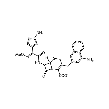 CON=C(C(=O)NC1C(=O)N2C(C(=O)[O-])=C(C[n+]3cc(N)c4ccccc4c3)CS[C@@H]12)c1csc(N)n1